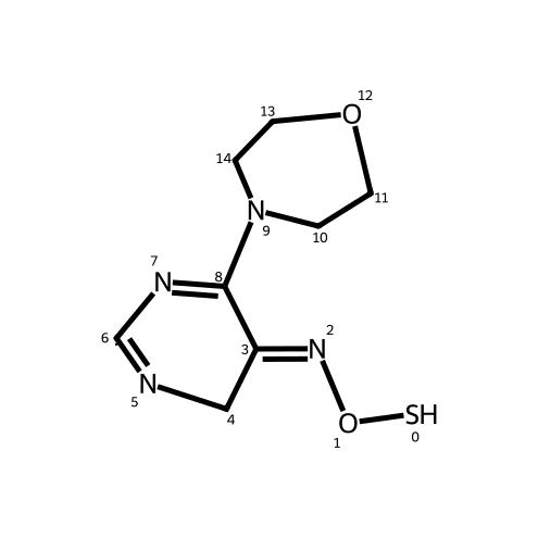 SON=C1CN=[C]N=C1N1CCOCC1